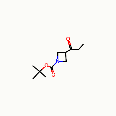 CCC(=O)C1CN(C(=O)OC(C)(C)C)C1